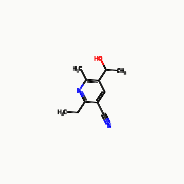 CCc1nc(C)c(C(C)O)cc1C#N